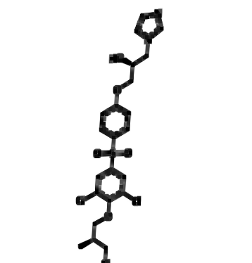 C[C@H](CCl)COc1c(Cl)cc(S(=O)(=O)c2ccc(OC[C@@H](O)Cn3ccnc3)cc2)cc1Cl